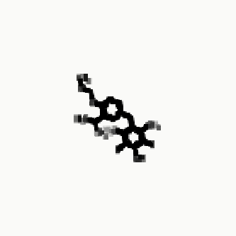 COCOc1ccc(Cc2c(C)c(I)c(O)c(I)c2C)cc1C(C)C